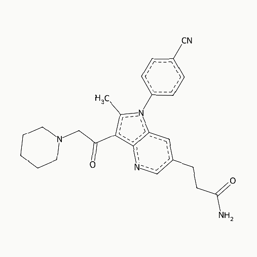 Cc1c(C(=O)CN2CCCCC2)c2ncc(CCC(N)=O)cc2n1-c1ccc(C#N)cc1